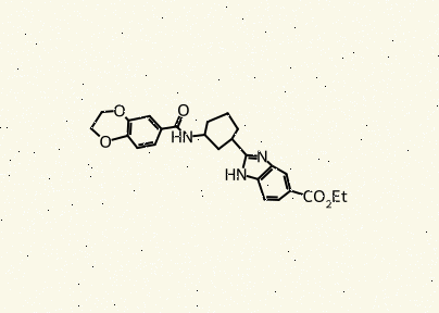 CCOC(=O)c1ccc2[nH]c(C3CCCC(NC(=O)c4ccc5c(c4)OCCO5)C3)nc2c1